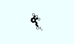 CCC=CC1CC=CC2C(=O)OC(=O)C12